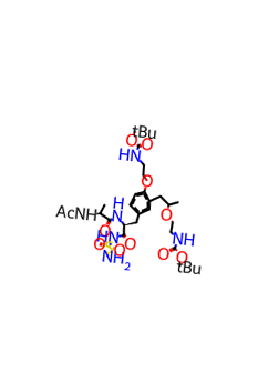 CC(=O)N[C@@H](C)C(=O)N[C@@H](Cc1ccc(OCCNC(=O)OC(C)(C)C)c(CC(C)OCCNC(=O)OC(C)(C)C)c1)C(=O)NS(N)(=O)=O